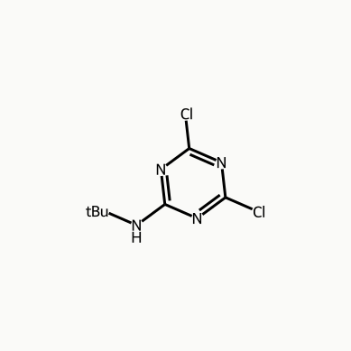 CC(C)(C)Nc1nc(Cl)nc(Cl)n1